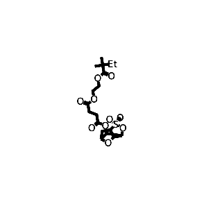 CCC(C)(C)C(=O)OCCOC(=O)CCC(=O)OC1C2CC3C(O2)C1OS3(=O)=O